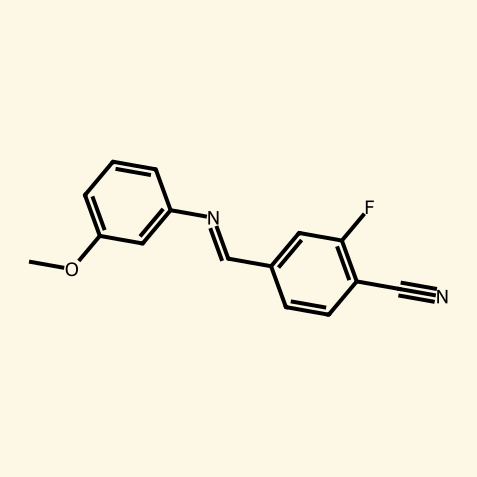 COc1cccc(/N=C/c2ccc(C#N)c(F)c2)c1